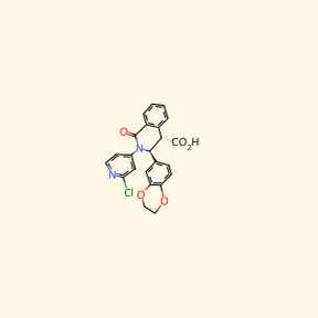 O=C(O)[C@H]1c2ccccc2C(=O)N(c2ccnc(Cl)c2)[C@@H]1c1ccc2c(c1)OCCO2